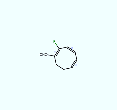 O=C/C1=C(F)/C=C\C=C/CC1